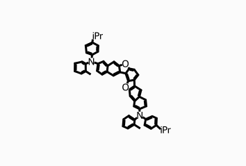 Cc1ccccc1N(c1ccc(C(C)C)cc1)c1ccc2cc3c(cc2c1)oc1c3ccc2oc3cc4cc(N(c5ccc(C(C)C)cc5)c5ccccc5C)ccc4cc3c21